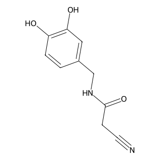 N#CCC(=O)NCc1ccc(O)c(O)c1